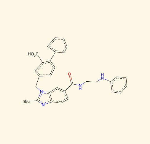 CCCCc1nc2ccc(C(=O)NCCNc3ccccc3)cc2n1Cc1ccc(-c2ccccc2)c(C(=O)O)c1